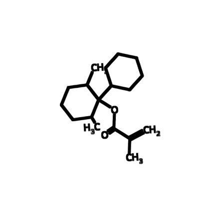 C=C(C)C(=O)OC1(C2CCCCC2)C(C)CCCC1C